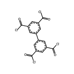 O=C(Cl)c1cc(C(=O)Cl)cc(-c2cc(C(=O)Cl)cc(C(=O)Cl)c2)c1